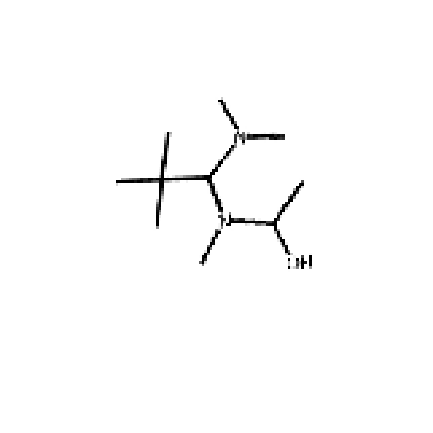 CC(O)N(C)C(N(C)C)C(C)(C)C